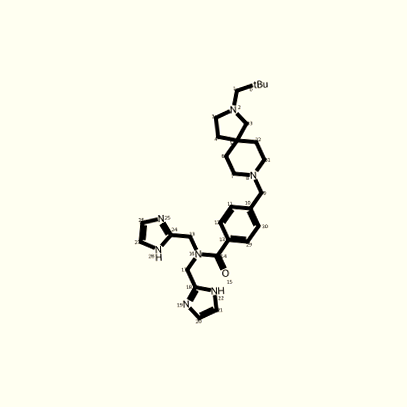 CC(C)(C)CN1CCC2(CCN(Cc3ccc(C(=O)N(Cc4ncc[nH]4)Cc4ncc[nH]4)cc3)CC2)C1